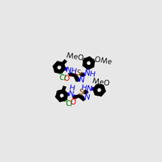 COc1cc(Nc2ncc(C(=O)Nc3c(C)cccc3Cl)s2)cc(OC)c1.COc1ccccc1Nc1ncc(C(=O)Nc2c(C)cccc2Cl)s1